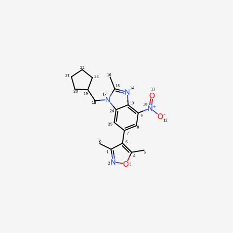 Cc1noc(C)c1-c1cc([N+](=O)[O-])c2nc(C)n(CC3CCCC3)c2c1